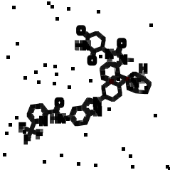 Cn1c(=O)n(C2CCC(=O)NC2=O)c2cccc(C3CC4CC[C@H](C3)N4CC3CCC(n4cc5cc(NC(=O)c6cccc(C(F)(F)F)n6)ccc5n4)CC3)c21